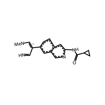 CN/C=C(\C=N)c1ccc2cc(NC(=O)C3CC3)ncc2c1